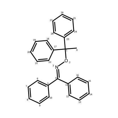 CC(ON=C(c1ccccc1)c1ccccc1)(c1ccccc1)c1ccccc1